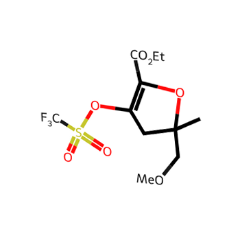 CCOC(=O)C1=C(OS(=O)(=O)C(F)(F)F)CC(C)(COC)O1